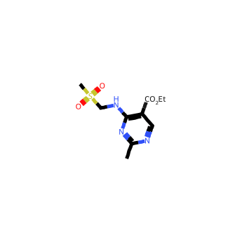 CCOC(=O)c1cnc(C)nc1NCS(C)(=O)=O